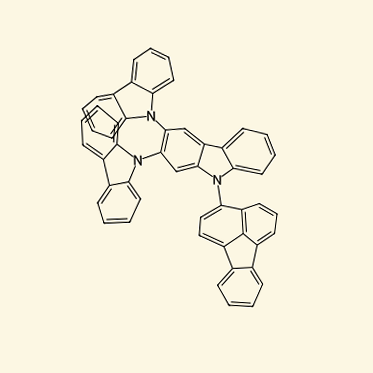 c1ccc2c(c1)-c1cccc3c(-n4c5ccccc5c5cc(-n6c7ccccc7c7ccccc76)c(-n6c7ccccc7c7ccccc76)cc54)ccc-2c13